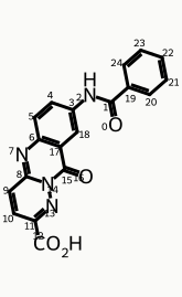 O=C(Nc1ccc2nc3ccc(C(=O)O)nn3c(=O)c2c1)c1ccccc1